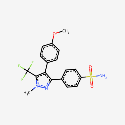 COc1ccc(-c2c(-c3ccc(S(N)(=O)=O)cc3)nn(C)c2C(F)(F)F)cc1